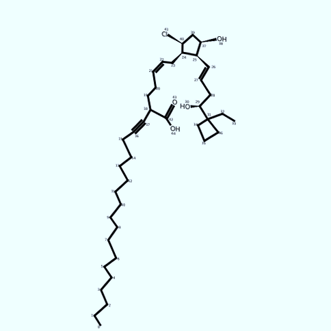 CCCCCCCCCCCCCCCCC#CC(CC/C=C\C[C@@H]1[C@H](/C=C/C[C@H](O)C2(CC)CCC2)[C@H](O)C[C@@H]1Cl)C(=O)O